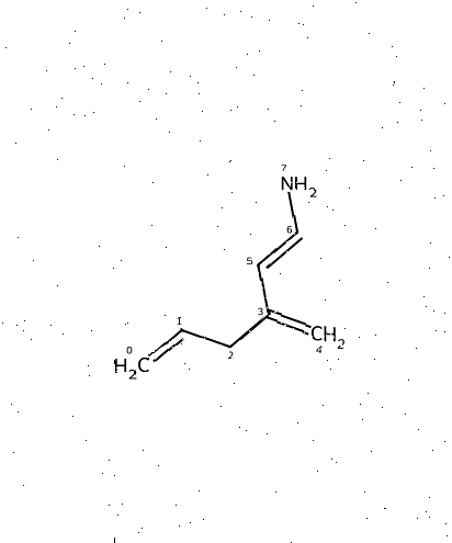 C=CCC(=C)C=CN